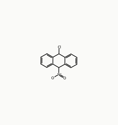 O=[N+]([O-])C1c2ccccc2C(Cl)c2ccccc21